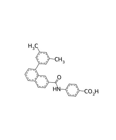 Cc1cc(C)cc(-c2cccc3ccc(C(=O)Nc4ccc(C(=O)O)cc4)cc23)c1